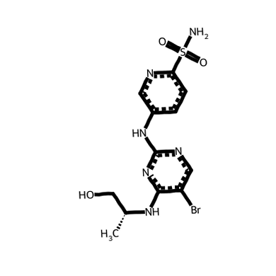 C[C@H](CO)Nc1nc(Nc2ccc(S(N)(=O)=O)nc2)ncc1Br